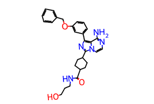 Nc1nccn2c(C3CCC(C(=O)NCCCO)CC3)nc(-c3cccc(OCc4ccccc4)c3)c12